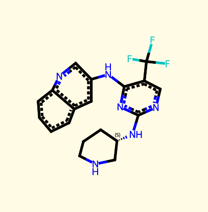 FC(F)(F)c1cnc(N[C@H]2CCCNC2)nc1Nc1cnc2ccccc2c1